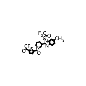 Cc1ccc2c(c1)N(OC(=O)C(F)(F)F)C(C1CCCN(C(=O)c3ccc(C(=O)C(F)(F)F)s3)C1)=[N+]2